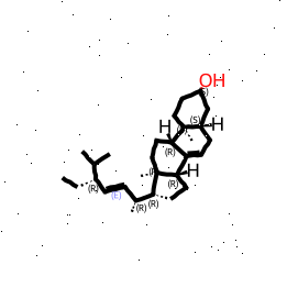 CC[C@@H](/C=C/[C@@H](C)[C@H]1CC[C@H]2C3=CC[C@H]4C[C@@H](O)CC[C@]4(C)[C@H]3CC[C@]12C)C(C)C